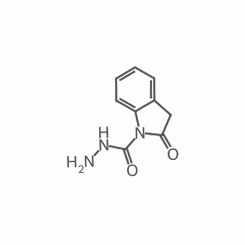 NNC(=O)N1C(=O)Cc2ccccc21